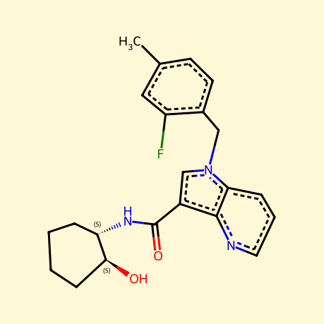 Cc1ccc(Cn2cc(C(=O)N[C@H]3CCCC[C@@H]3O)c3ncccc32)c(F)c1